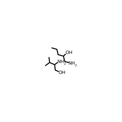 CC(C)C(N)CO.CCCC(O)CN